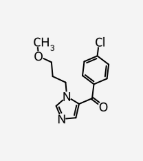 COCCCn1cncc1C(=O)c1ccc(Cl)cc1